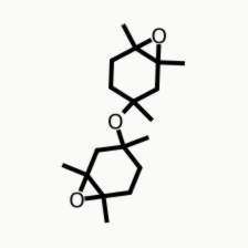 CC1(OC2(C)CCC3(C)OC3(C)C2)CCC2(C)OC2(C)C1